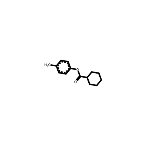 Cc1ccc(OC(=O)C2CCCCC2)cc1